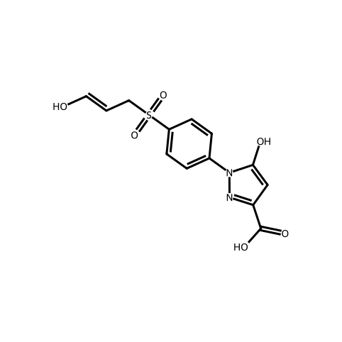 O=C(O)c1cc(O)n(-c2ccc(S(=O)(=O)CC=CO)cc2)n1